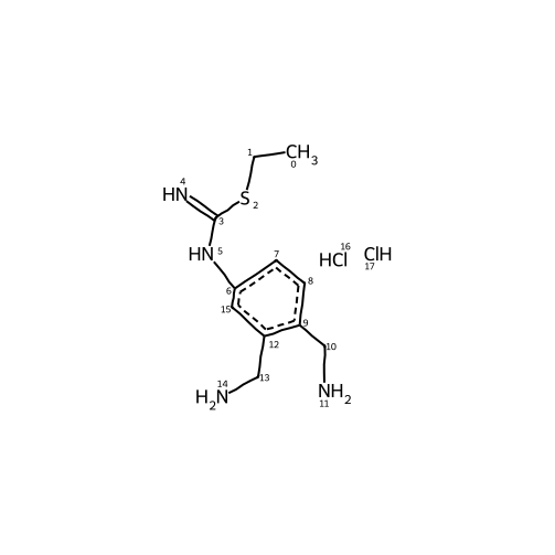 CCSC(=N)Nc1ccc(CN)c(CN)c1.Cl.Cl